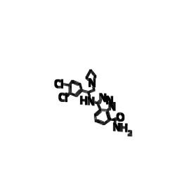 NC(=O)c1cccc2c(NC(CN3CCC3)c3ccc(Cl)c(Cl)c3)nnnc12